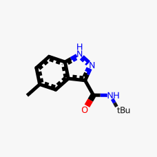 Cc1ccc2[nH]nc(C(=O)NC(C)(C)C)c2c1